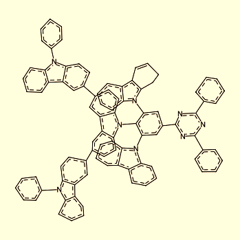 C1=Cc2c(n(-c3cc(-c4nc(-c5ccccc5)nc(-c5ccccc5)n4)cc(-n4c5ccccc5c5ccccc54)c3-n3c4ccc(-c5ccc6c(c5)c5ccccc5n6-c5ccccc5)cc4c4cc(-c5ccc6c(c5)c5ccccc5n6-c5ccccc5)ccc43)c3ccccc23)CC1